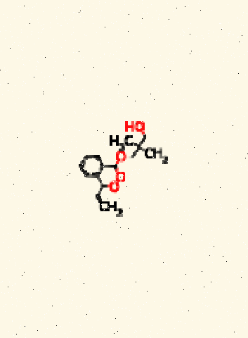 C=CC(=O)c1ccccc1C(=O)OCC(C)(C)CO